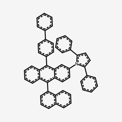 c1ccc(-c2ccc(-c3c4ccccc4c(-c4cccc5ccccc45)c4ccc(-n5c(-c6ccccc6)ccc5-c5ccccc5)cc34)cc2)cc1